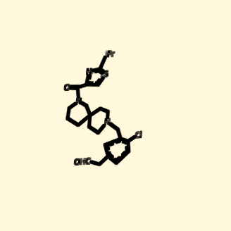 CC(C)c1nc(C(=O)N2CCCC3(CCN(Cc4cc(CC=O)ccc4Cl)CC3)C2)cs1